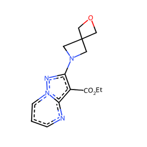 CCOC(=O)c1c(N2CC3(COC3)C2)nn2cccnc12